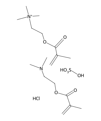 C=C(C)C(=O)OCCN(C)C.C=C(C)C(=O)OCC[N+](C)(C)C.Cl.O=S(=O)(O)O